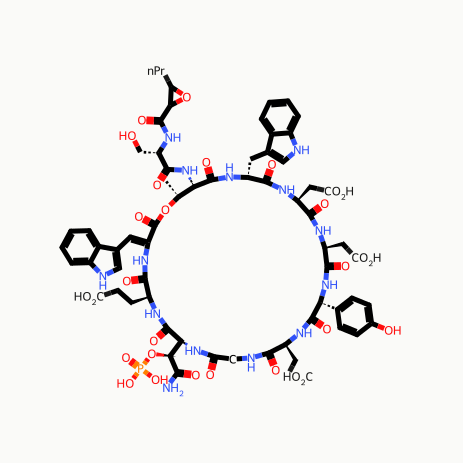 CCCC1OC1C(=O)N[C@@H](CO)C(=O)N[C@@H]1C(=O)N[C@H](Cc2c[nH]c3ccccc23)C(=O)N[C@@H](CC(=O)O)C(=O)N[C@@H](CC(=O)O)C(=O)N[C@H](c2ccc(O)cc2)C(=O)N[C@@H](CC(=O)O)C(=O)NCC(=O)N[C@H]([C@H](OP(=O)(O)O)C(N)=O)C(=O)N[C@@H](CCC(=O)O)C(=O)N/C(=C\c2c[nH]c3ccccc23)C(=O)O[C@@H]1C